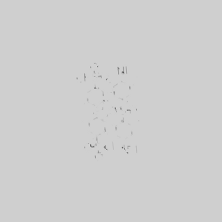 Nc1ccc(S(=O)(=O)c2ccc(N)cc2)cc1.O=S(=O)(Cl)c1ccc(-c2ccc(S(=O)(=O)Cl)cc2)cc1